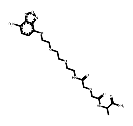 CC(NC(=O)COCC(=O)NCCOCCOCCNc1ccc([N+](=O)[O-])c2nonc12)C(N)=O